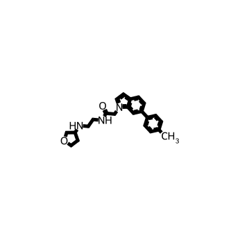 Cc1ccc(-c2ccc3ccn(CC(=O)NCCNC4CCOC4)c3c2)cc1